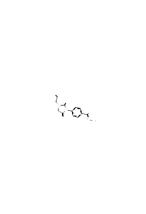 C=CCN1CC(=O)N(c2ccc(/C(C)=N/O)cc2)C1=O